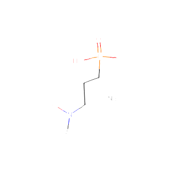 CC(=O)N(O)CCCP(=O)([O-])O.[Na+]